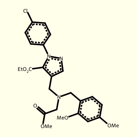 CCOC(=O)c1c(CN(CC(=O)OC)Cc2ccc(OC)cc2OC)cnn1-c1ccc(Cl)cc1